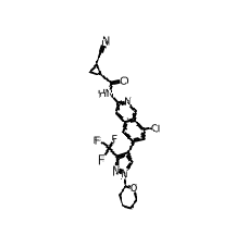 N#CC1CC1C(=O)Nc1cc2cc(-c3cn(C4CCCCO4)nc3C(F)(F)F)cc(Cl)c2cn1